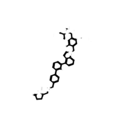 COc1cc(Cn2ccc3c(-c4cccc(-c5ccc(CNCC6CCC(=O)N6)cc5)c4Cl)cccc32)c(Cl)cc1CN(C)C(C=O)CO